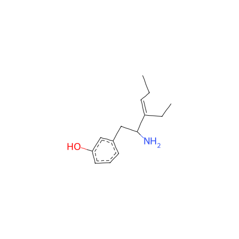 CCC=C(CC)C(N)Cc1cccc(O)c1